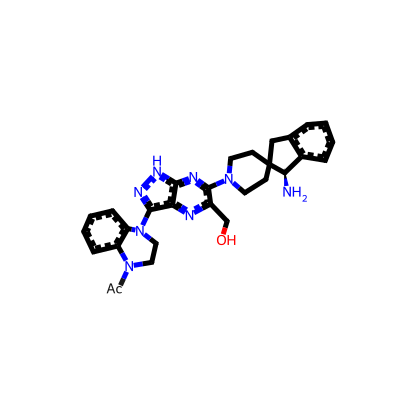 CC(=O)N1CCN(c2n[nH]c3nc(N4CCC5(CC4)Cc4ccccc4[C@H]5N)c(CO)nc23)c2ccccc21